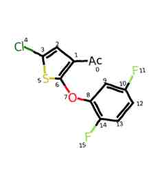 CC(=O)c1cc(Cl)sc1Oc1cc(F)ccc1F